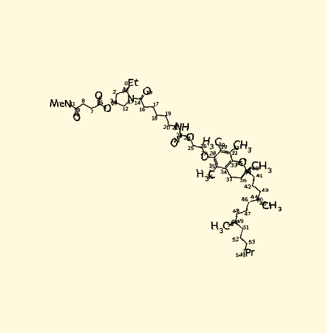 CC[C@@H]1C[C@@H](OC(=O)CCC(=O)NC)CN1C(=O)CCCCCNC(=O)OCCOc1c(C)c(C)c2c(c1C)CC[C@@](C)(CCC[C@H](C)CCC[C@H](C)CCCC(C)C)O2